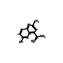 C=C(C)c1cc(C)nc2ccc(Cl)cc12